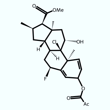 COC(=O)[C@@H]1[C@H](C)C[C@H]2[C@@H]3C[C@H](F)C4=CC(OC(=O)C(C)=O)C=C[C@]4(C)[C@@]3(Cl)[C@@H](O)C[C@]12C